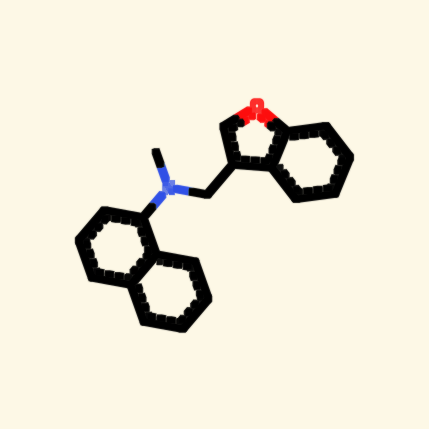 CN(Cc1coc2ccccc12)c1cccc2ccccc12